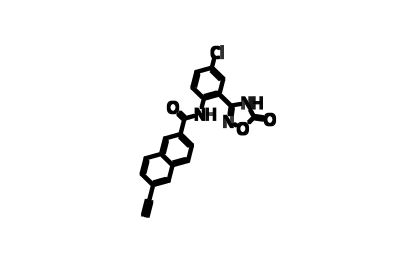 C#Cc1ccc2cc(C(=O)Nc3ccc(Cl)cc3-c3noc(=O)[nH]3)ccc2c1